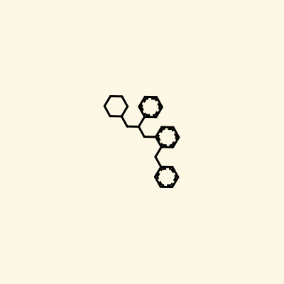 c1ccc(Cc2ccccc2CC(CC2CCCCC2)c2ccccc2)cc1